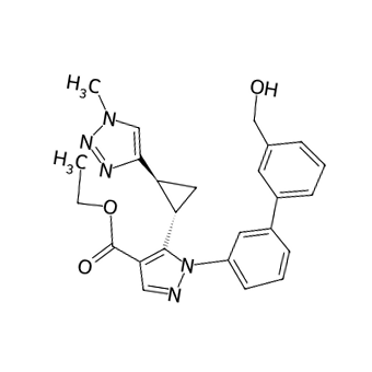 CCOC(=O)c1cnn(-c2cccc(-c3cccc(CO)c3)c2)c1[C@H]1C[C@@H]1c1cn(C)nn1